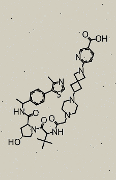 Cc1ncsc1-c1ccc(C(C)NC(=O)[C@@H]2C[C@@H](O)CN2C(=O)C(NC(=O)CN2CCN(C3CC4(C3)CN(c3ccc(C(=O)O)cn3)C4)CC2)C(C)(C)C)cc1